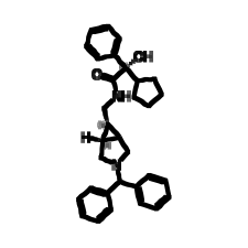 O=C(NC[C@H]1C2CN(C(c3ccccc3)c3ccccc3)C[C@@H]21)[C@@](O)(c1ccccc1)C1CCCC1